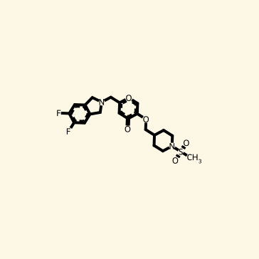 CS(=O)(=O)N1CCC(COc2coc(CN3Cc4cc(F)c(F)cc4C3)cc2=O)CC1